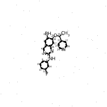 Bc1cc2cnc(Nc3cccc(F)c3)nc2cc1OC(C)c1ccncc1